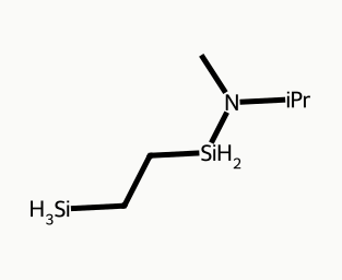 CC(C)N(C)[SiH2]CC[SiH3]